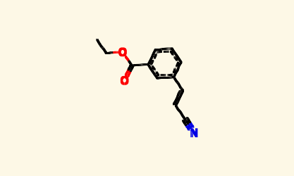 CCOC(=O)c1cccc(/C=C/C#N)c1